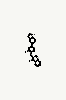 O=c1c2ccccc2ncn1Cc1ccc(C2=CC3C=CNC3C=C2)cc1F